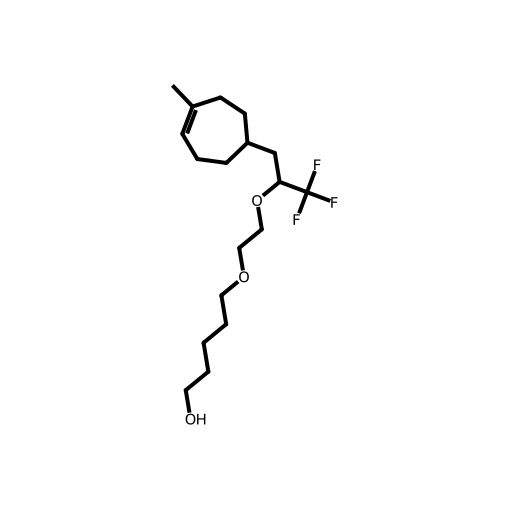 CC1=CCCC(CC(OCCOCCCCCO)C(F)(F)F)CC1